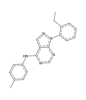 CCc1ccccc1-n1ncc2c(Nc3ccc(C)cc3)ncnc21